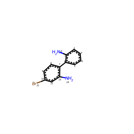 Nc1ccccc1-c1ccc(Br)cc1N